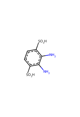 Nc1c(S(=O)(=O)O)ccc(S(=O)(=O)O)c1N